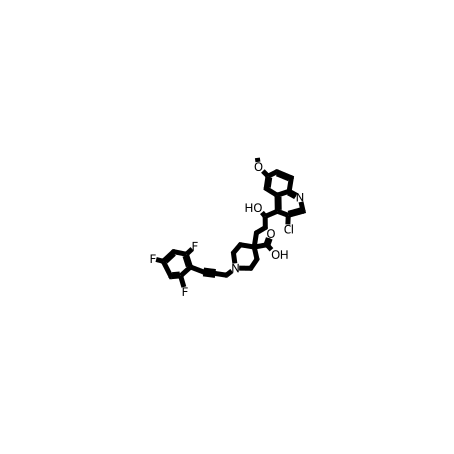 COc1ccc2ncc(Cl)c(C(O)CCC3(C(=O)O)CCN(CC#Cc4c(F)cc(F)cc4F)CC3)c2c1